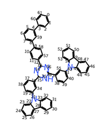 c1ccc(-c2cccc(-c3ccc(C4=NC(c5cccc(-n6c7ccccc7c7ccccc76)c5)NC(c5cccc(-n6c7ccccc7c7ccccc76)c5)=N4)cc3)c2)cc1